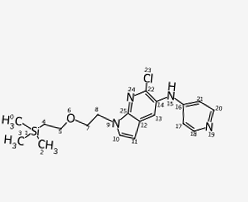 C[Si](C)(C)CCOCCn1ccc2cc(Nc3ccncc3)c(Cl)nc21